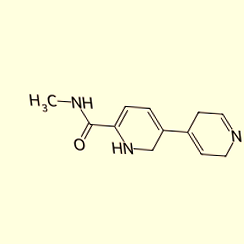 CNC(=O)C1=CC=C(C2=CCN=CC2)CN1